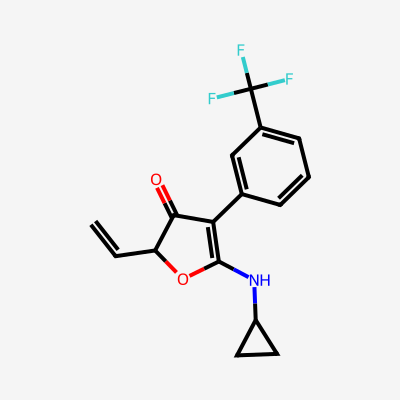 C=CC1OC(NC2CC2)=C(c2cccc(C(F)(F)F)c2)C1=O